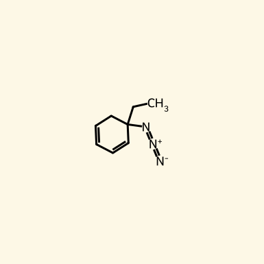 CCC1(N=[N+]=[N-])C=CC=CC1